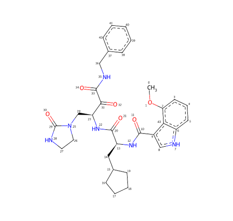 COc1cccc2[nH]cc(C(=O)N[C@@H](CC3CCCC3)C(=O)N[C@@H](CN3CCNC3=O)C(=O)C(=O)NCc3ccccc3)c12